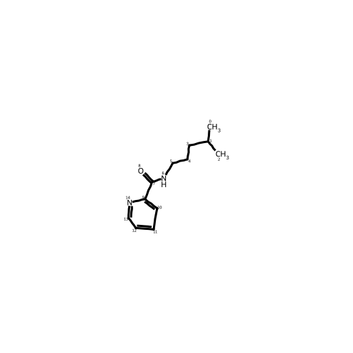 CC(C)CCCNC(=O)c1ccccn1